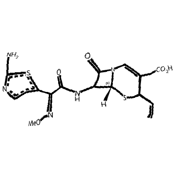 C=CC1S[C@@H]2C(NC(=O)C(=NOC)c3cnc(N)s3)C(=O)N2C=C1C(=O)O